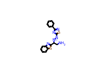 NCC(/N=N/c1nc(-c2ccccc2)ns1)c1nc2ccccc2s1